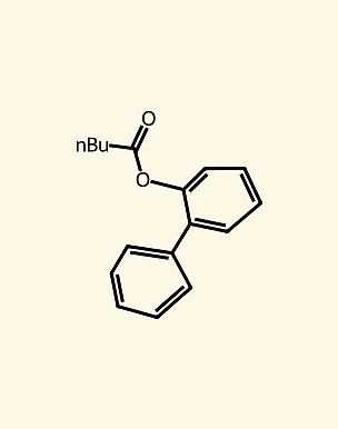 CCCCC(=O)Oc1ccccc1-c1ccccc1